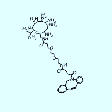 CC(N)C1CC(CNC(=O)CCOCCOCCNC(=O)CCC(=O)N2Cc3ccccc3C#Cc3ccccc32)C(N)C[C@@H](N)C(N)C(N)C(N)CC1N